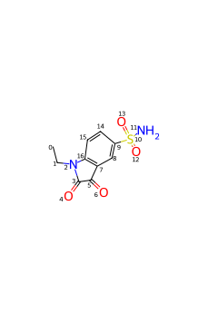 CCN1C(=O)C(=O)c2cc(S(N)(=O)=O)ccc21